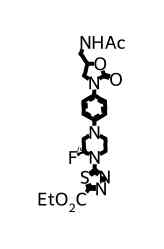 CCOC(=O)c1nnc(N2CCN(c3ccc(N4CC(CNC(C)=O)OC4=O)cc3)C[C@@H]2F)s1